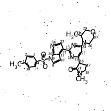 Cc1ccc(S(=O)(=O)n2ccc3c(-c4nc(C5CCN(C)C5=O)cc(N5CCOCC5C)n4)ccnc32)cc1